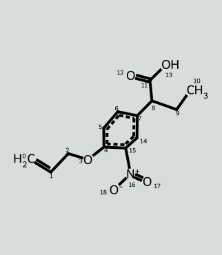 C=CCOc1ccc(C(CC)C(=O)O)cc1[N+](=O)[O-]